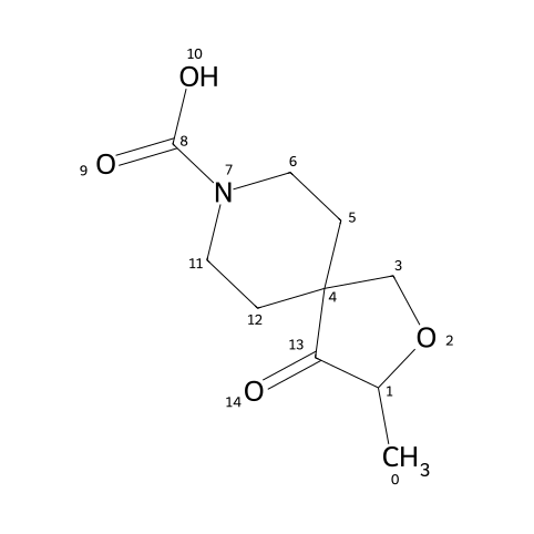 CC1OCC2(CCN(C(=O)O)CC2)C1=O